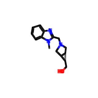 Cn1c(CN2CC3C(CO)C3C2)nc2ccccc21